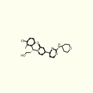 O=c1cc(-c2ccnc(NC3CCOCC3)n2)ccn1[C@H](CCO)c1cccc(Cl)c1F